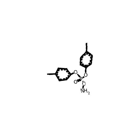 Cc1ccc(OP(=O)(ON)Oc2ccc(C)cc2)cc1